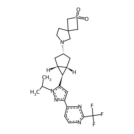 CC(C)n1nc(-c2ccnc(C(F)(F)F)n2)cc1[C@H]1[C@@H]2C[C@H](N3CCC4(C3)CS(=O)(=O)C4)C[C@@H]21